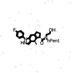 CCCCCN(CCO)C(=O)[C@H]1CCC2=C1[C@@H](C)C1=CNN(c3ccc(F)cc3)C1=C2